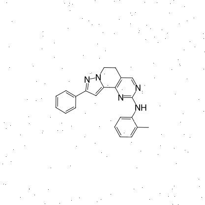 Cc1ccccc1Nc1ncc2c(n1)-c1cc(-c3ccccc3)nn1CC2